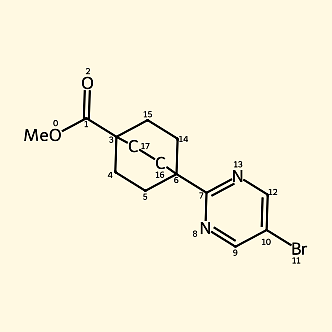 COC(=O)C12CCC(c3ncc(Br)cn3)(CC1)CC2